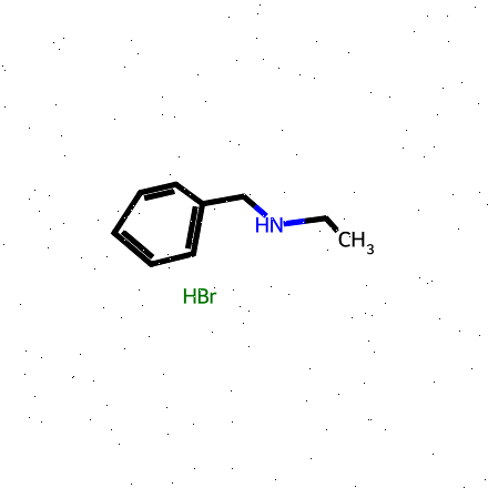 Br.CCNCc1ccccc1